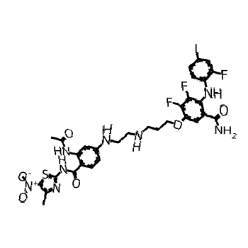 CC(=O)Nc1cc(NCCNCCCOc2cc(C(N)=O)c(Nc3ccc(I)cc3F)c(F)c2F)ccc1C(=O)Nc1nc(C)c([N+](=O)[O-])s1